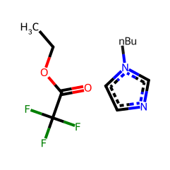 CCCCn1ccnc1.CCOC(=O)C(F)(F)F